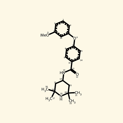 COc1cccc(Oc2ccc(C(=O)NC3CC(C)(C)NC(C)(C)C3)cc2)c1